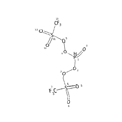 O=[PH](OOS(=O)(=O)C(F)(F)F)OOS(=O)(=O)C(F)(F)F